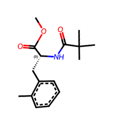 COC(=O)[C@@H](Cc1ccccc1C)NC(=O)C(C)(C)C